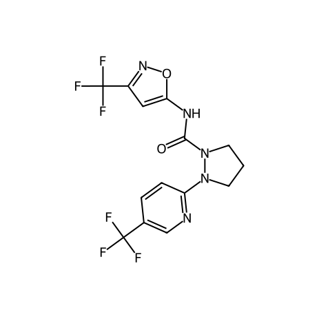 O=C(Nc1cc(C(F)(F)F)no1)N1CCCN1c1ccc(C(F)(F)F)cn1